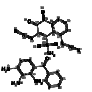 Nc1ccc(C(=O)c2ccccc2)c(N)c1N.[N-]=[N+]=NC1=C(S(N)(=O)=O)c2c(N=[N+]=[N-])cccc2C(=O)C1=O